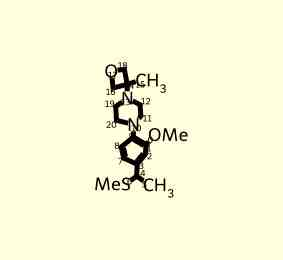 COc1cc(C(C)SC)ccc1N1CCN(C2(C)COC2)CC1